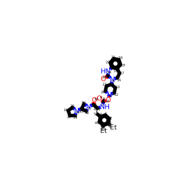 CCc1ccc(C[C@@H](NC(=O)ON2CCC(N3CCc4ccccc4NC3=O)CC2)C(=O)N2CC(N3CCCC3)C2)cc1CC